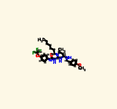 CCCCCCCN1C(C)CC(NCc2ccc(OC)cc2)NC1NC(=O)Nc1ccc(OC(F)(F)F)cc1